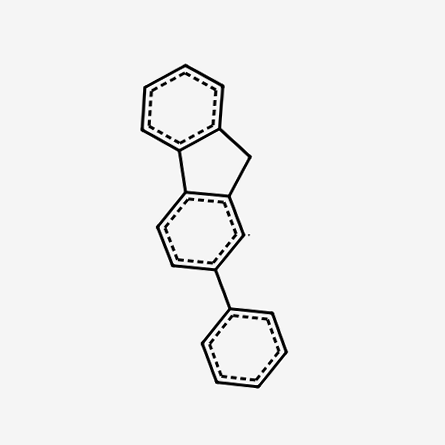 [c]1c(-c2ccccc2)ccc2c1Cc1ccccc1-2